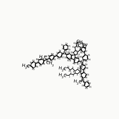 CCCCCCC1(CCCCCC)c2cc(N(C)c3ccccc3)ccc2-c2ccc(N(c3cccc(-c4ccc5c(c4)CC5)c3)c3ccc4c(c3)C(CCCCCC)(CCCCCC)c3cc(N(c5ccccc5)c5ccc(-c6ccc(C(C)(C)c7ccc(-c8ccc(C)cc8)cc7)cc6)cc5)ccc3-4)cc21